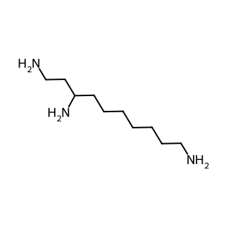 NCCCCCCCC(N)CCN